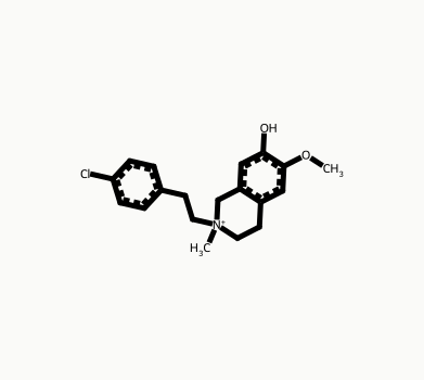 COc1cc2c(cc1O)C[N+](C)(CCc1ccc(Cl)cc1)CC2